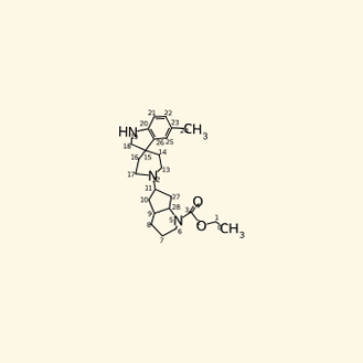 CCOC(=O)N1CCCC2CC(N3CCC4(CC3)CNc3ccc(C)cc34)CC21